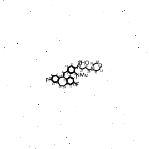 CNc1cc(C=C2c3ccc(F)cc3CCc3cc(F)ccc32)ccc1N(C=O)CCCN1CCOCC1